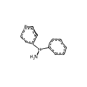 NN(c1ccccc1)c1ccncc1